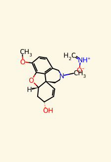 C=[NH+][O-].COc1ccc2c3c1O[C@H]1C[C@@H](O)C=C[C@@]31CCN(C)C2